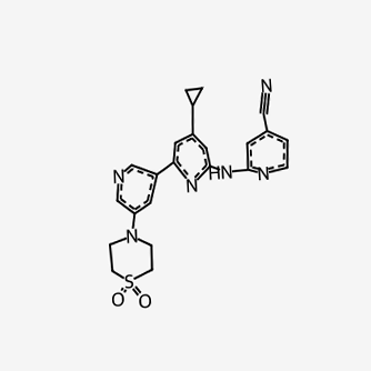 N#Cc1ccnc(Nc2cc(C3CC3)cc(-c3cncc(N4CCS(=O)(=O)CC4)c3)n2)c1